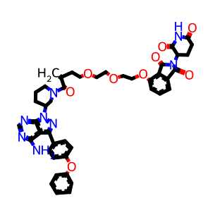 C=C(CCOCCOCCOc1cccc2c1C(=O)N(C1CCC(=O)NC1=O)C2=O)C(=O)N1CCCC(n2nc(-c3ccc(Oc4ccccc4)cc3)c3c(N)ncnc32)C1